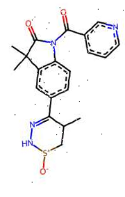 CC1C[S+]([O-])NN=C1c1ccc2c(c1)C(C)(C)C(=O)N2C(=O)c1cccnc1